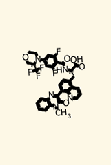 Cn1c(=O)c(-c2ccc(C[C@H](NC(=O)c3c(F)cc(N4CCOC[C@@H]4C(F)(F)F)cc3F)C(=O)O)c3cccnc23)nc2ccccc21